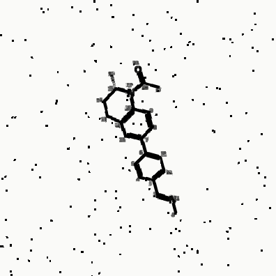 C/N=C/c1ccc(-c2ccc3c(c2)CC[C@H](C)N3C(C)=O)cc1